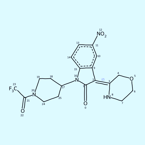 O=C1/C(=C2/COCCN2)c2cc([N+](=O)[O-])ccc2N1C1CCN(C(=O)C(F)(F)F)CC1